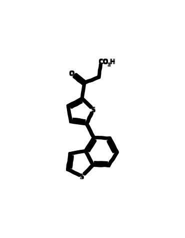 O=C(O)CC(=O)c1ccc(-c2cccc3sccc23)s1